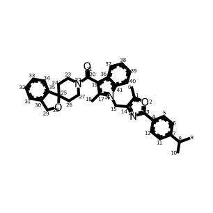 Cc1oc(-c2ccc(C(C)C)cc2)nc1Cn1c(C)c(C(=O)N2CCC3(CC2)OCc2ccccc23)c2ccccc21